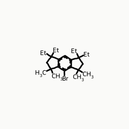 CCC1(CC)CC(C)(C)c2c1cc1c(c2Br)C(C)(C)CC1(CC)CC